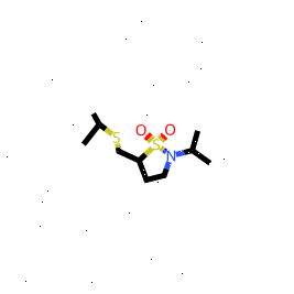 CC(C)SCC1CCN(C(C)C)S1(=O)=O